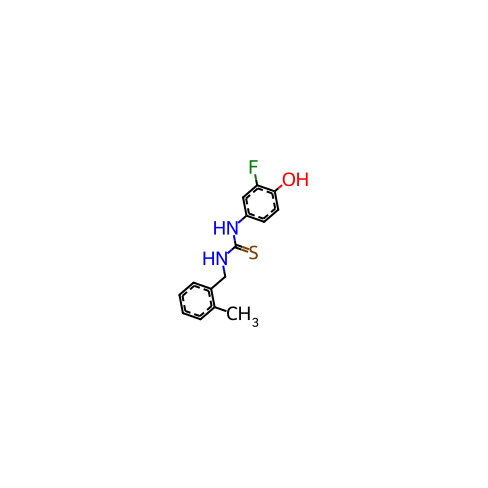 Cc1ccccc1CNC(=S)Nc1ccc(O)c(F)c1